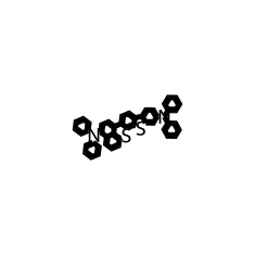 c1ccc(N(c2ccccc2)c2ccc3c(c2)sc2c4c(ccc23)-c2ccc(N(c3ccccc3)c3ccccc3)c3cccc(c23)S4)cc1